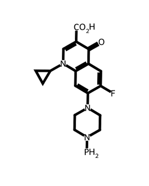 O=C(O)c1cn(C2CC2)c2cc(N3CCN(P)CC3)c(F)cc2c1=O